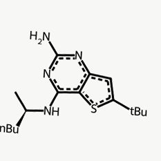 CCCC[C@@H](C)Nc1nc(N)nc2cc(C(C)(C)C)sc12